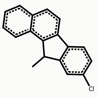 CC1c2cc(Cl)ccc2-c2ccc3ccccc3c21